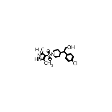 Cc1n[nH]c(C)c1S(=O)(=O)N1CCC(C(CO)c2ccc(Cl)cc2)CC1